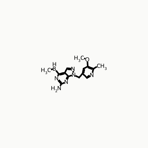 CBc1nc(N)nc2c1cnn2Cc1cnc(C)c(OC)c1